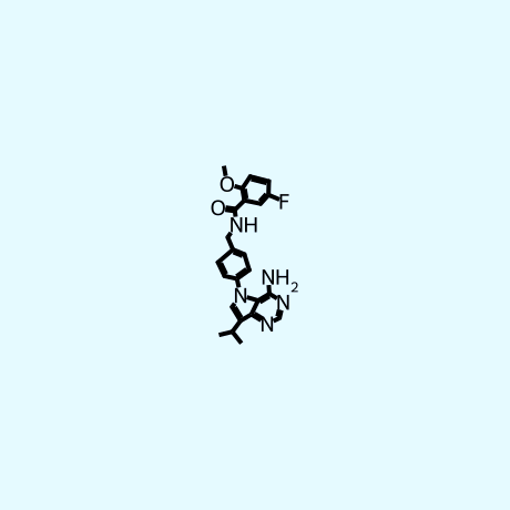 COc1ccc(F)cc1C(=O)NCc1ccc(-n2cc(C(C)C)c3ncnc(N)c32)cc1